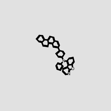 c1ccc(N(c2ccc(-c3ccc4ccc5c6ccccc6ccc5c4c3)cc2)c2cccc3oc4ncccc4c23)cc1